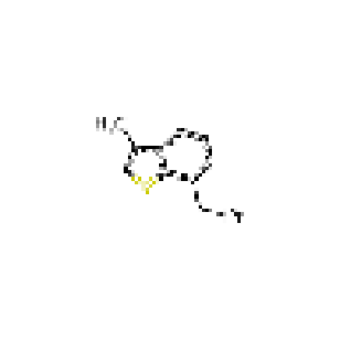 Cc1csc2c(CC(C)C)cccc12